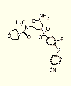 CN(CCN(CC(N)=O)S(=O)(=O)c1ccc(Oc2ccc(C#N)cc2)c(F)c1)C(=O)N1CCOCC1